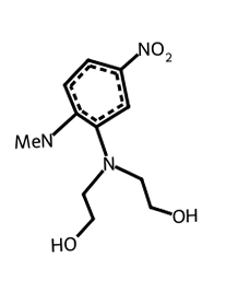 CNc1ccc([N+](=O)[O-])cc1N(CCO)CCO